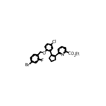 CCOC(=O)c1cccc(C2=C(c3cc(Cl)ccc3OCc3ccc(Br)cc3F)CCC2)n1